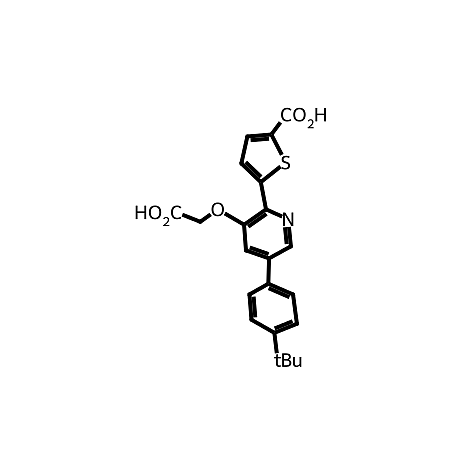 CC(C)(C)c1ccc(-c2cnc(-c3ccc(C(=O)O)s3)c(OCC(=O)O)c2)cc1